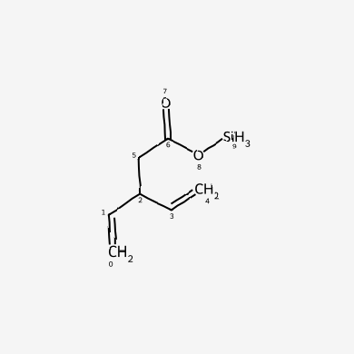 C=CC(C=C)CC(=O)O[SiH3]